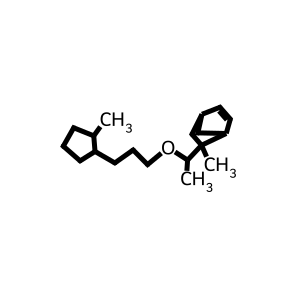 CC1CCCC1CCCOC(C)C1(C)CC2C=CC1C2